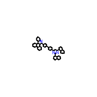 c1ccc2c(-c3cc(-c4ccc(-c5ccc(-c6nc7ccccc7c7c8ccccc8c8ccccc8c67)cc5)cc4)nc(-c4cccc5ccccc45)n3)cccc2c1